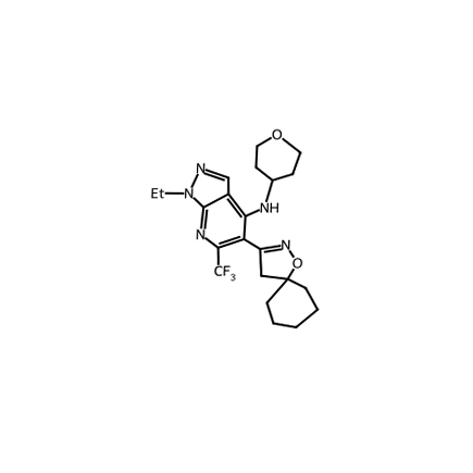 CCn1ncc2c(NC3CCOCC3)c(C3=NOC4(CCCCC4)C3)c(C(F)(F)F)nc21